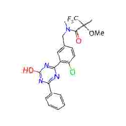 COC(C)(C(=O)N(C)Cc1ccc(Cl)c(-c2nc(O)nc(-c3ccccc3)n2)c1)C(F)(F)F